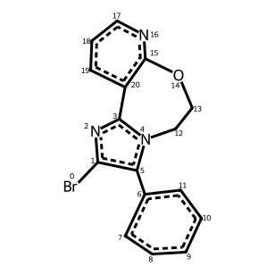 Brc1nc2n(c1-c1ccccc1)CCOc1ncccc1-2